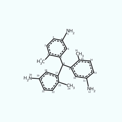 Cc1ccc(N)cc1C(c1cc(N)ccc1C)c1cc(N)ccc1C